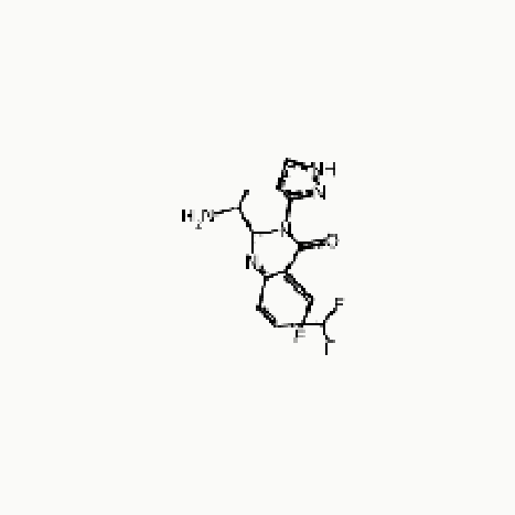 CC(N)C1N=C2C=CC(F)(C(F)F)C=C2C(=O)N1c1cc[nH]n1